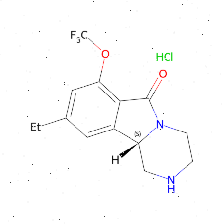 CCc1cc(OC(F)(F)F)c2c(c1)[C@H]1CNCCN1C2=O.Cl